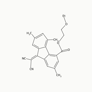 CCOCCOC(=O)c1cc(C)cc2c1-c1c(C)cc(C)cc1C2=C(C#N)C#N